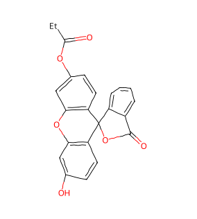 CCC(=O)Oc1ccc2c(c1)Oc1cc(O)ccc1C21OC(=O)c2ccccc21